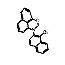 Brc1c(N2COc3cccc4cccc2c34)ccc2ccccc12